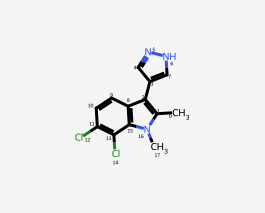 Cc1c(-c2cn[nH]c2)c2ccc(Cl)c(Cl)c2n1C